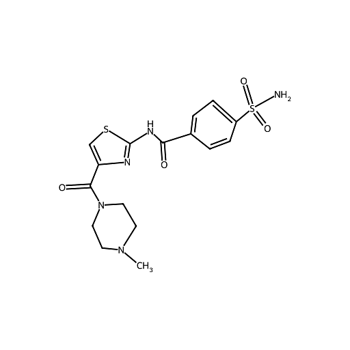 CN1CCN(C(=O)c2csc(NC(=O)c3ccc(S(N)(=O)=O)cc3)n2)CC1